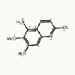 COc1c(N)cc2nc(C#N)ccc2c1N